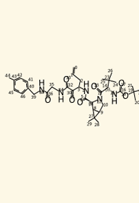 C=CCC(NC(=O)[C@@H]1C2C(CN1C(=O)[C@@H](NC(=O)OC(C)(C)C)C(C)(C)C)C2(C)C)C(=O)C(=O)NCC(=O)NCc1ccc(C)cc1